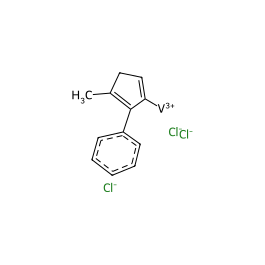 CC1=C(c2ccccc2)[C]([V+3])=CC1.[Cl-].[Cl-].[Cl-]